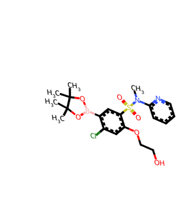 CN(c1ccccn1)S(=O)(=O)c1cc(B2OC(C)(C)C(C)(C)O2)c(Cl)cc1OCCO